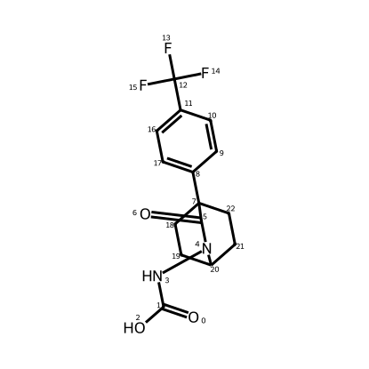 O=C(O)NN1C(=O)C2(c3ccc(C(F)(F)F)cc3)CCC1CC2